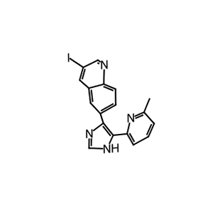 Cc1cccc(-c2[nH]cnc2-c2ccc3ncc(I)cc3c2)n1